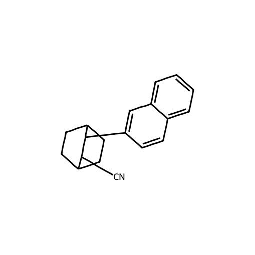 N#CC1C2CCC(CC2)C1c1ccc2ccccc2c1